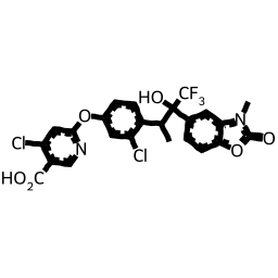 CC(c1ccc(Oc2cc(Cl)c(C(=O)O)cn2)cc1Cl)C(O)(c1ccc2oc(=O)n(C)c2c1)C(F)(F)F